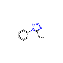 CCCCCCc1nnnn1-c1ccccc1